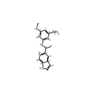 CSc1cc(N)nc(SC(C)c2cc3ccsc3cn2)n1